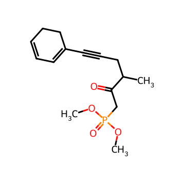 COP(=O)(CC(=O)C(C)CC#CC1=CC=CCC1)OC